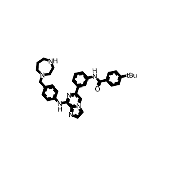 CC(C)(C)c1ccc(C(=O)Nc2cccc(-c3cn4ccnc4c(Nc4ccc(CN5CCCNCC5)cc4)n3)c2)cc1